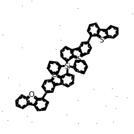 c1ccc([Si](c2ccccc2)(c2cccc3c2oc2ccc(-c4cccc5c4oc4ccccc45)cc23)c2cccc3c2sc2ccc(-c4cccc5c4sc4ccccc45)cc23)cc1